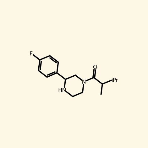 CC(C)C(C)C(=O)N1CCNC(c2ccc(F)cc2)C1